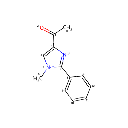 CC(=O)c1cn(C)c(-c2ccccc2)n1